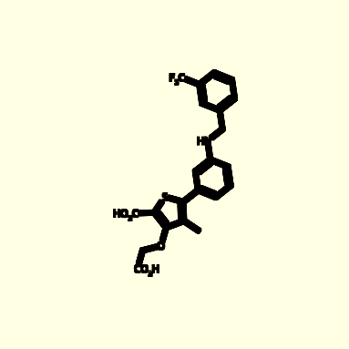 Cc1c(-c2cccc(NCc3cccc(C(F)(F)F)c3)c2)sc(C(=O)O)c1OCC(=O)O